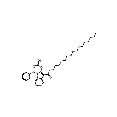 CCCCCCCCCCCCCCCCCC(=O)c1c(OC(=O)O)n(Cc2ccccc2)c2ccccc12